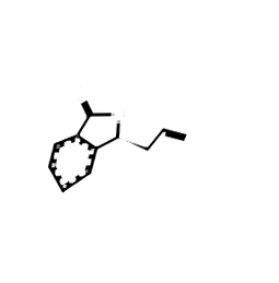 C=CC[C@@H]1OC(=O)c2ccccc21